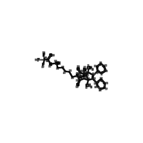 CC12C(=O)C(C)(C(c3ccccc3)=C1c1ccccc1)C1(Br)C(=O)N(CCCCCNOC(=O)C(F)(F)F)C(=O)C21